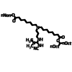 CCCCCCCCCOC(=O)CCCCCCCN(CCCCCCCC(=O)OC(CCCCCCCC)CCCCCCCC)CCCNC(NC#N)N(C)C